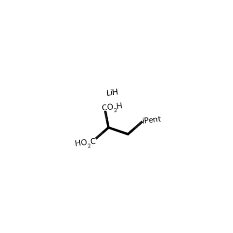 CCCC(C)CC(C(=O)O)C(=O)O.[LiH]